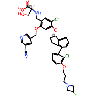 C[C@@](CO)(NCc1cc(Cl)c(O[C@H]2CCc3c(-c4cccc(OCCCN5CC(F)C5)c4Cl)cccc32)cc1OCc1cncc(C#N)c1)C(=O)O